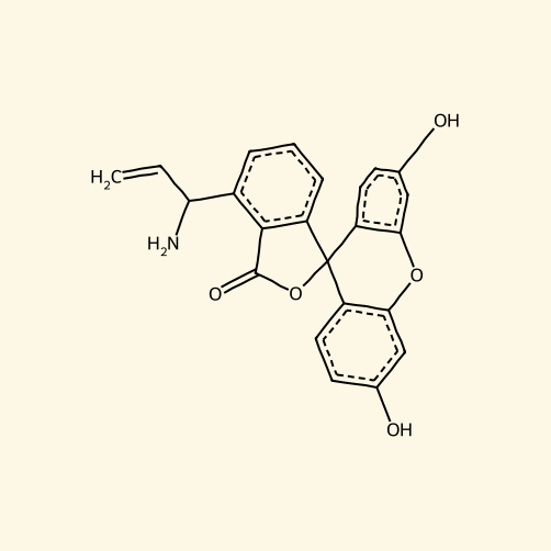 C=CC(N)c1cccc2c1C(=O)OC21c2ccc(O)cc2Oc2cc(O)ccc21